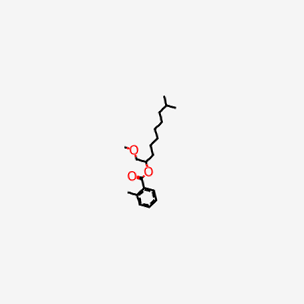 COCC(CCCCCCC(C)C)OC(=O)c1ccccc1C